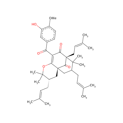 COc1ccc(C(=O)C2=C3OC(C)(C)[C@@H](CC=C(C)C)C[C@@]34CC(CC=C(C)C)C(C)(C)[C@@](CC=C(C)C)(C2=O)C4=O)cc1O